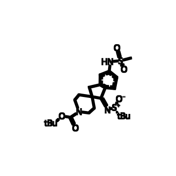 CC(C)(C)OC(=O)N1CCC2(CC1)Cc1cc(NS(C)(=O)=O)ccc1C2=N[S@+]([O-])C(C)(C)C